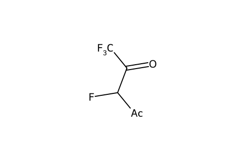 CC(=O)C(F)C(=O)C(F)(F)F